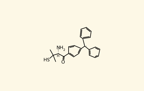 CC(C)(S)[C@H](N)C(=O)c1ccc([C](c2ccccc2)c2ccccc2)cc1